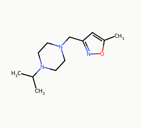 Cc1cc(CN2CCN(C(C)C)CC2)no1